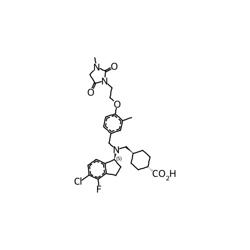 Cc1cc(CN(C[C@H]2CC[C@H](C(=O)O)CC2)[C@H]2CCc3c2ccc(Cl)c3F)ccc1OCCN1C(=O)CN(C)C1=O